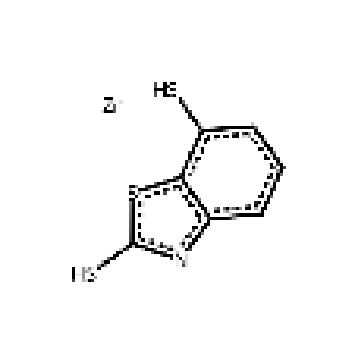 Sc1nc2cccc(S)c2s1.[Zn]